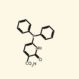 O=C(O)c1ccc(P(c2ccccc2)c2ccccc2)[nH]c1=O